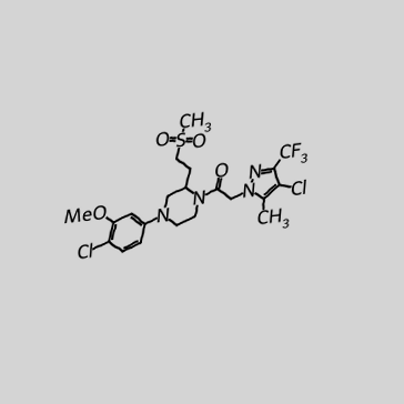 COc1cc(N2CCN(C(=O)Cn3nc(C(F)(F)F)c(Cl)c3C)C(CCS(C)(=O)=O)C2)ccc1Cl